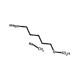 CCCCCCCCCCCCOS(=O)(=O)O.[CH3][Na]